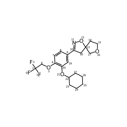 FC(F)(F)COc1ccc(C2=NOC3(CCOC3)C2)cc1OC1CCCCC1